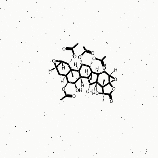 CC(=O)O[C@@H]1[C@H](O)[C@H]2[C@@H]3[C@@H](O)[C@@H]4[C@H]([C@H](C)[C@H]5O[C@]56OC(=O)[C@@](C)(O)[C@]46C)[C@@]3(C)[C@@H](OC(C)=O)[C@@H](OC(C)=O)[C@@H]2[C@]2(C)[C@@H]1C[C@@H]1O[C@@H]1[C@@H]2OC(C)=O